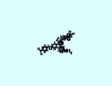 CCc1c(-c2ccc(OCc3ccc(C(C)C)cc3)cc2)c(-c2ccnc(N)n2)nn1CCNC(=O)OC(C)(C)C